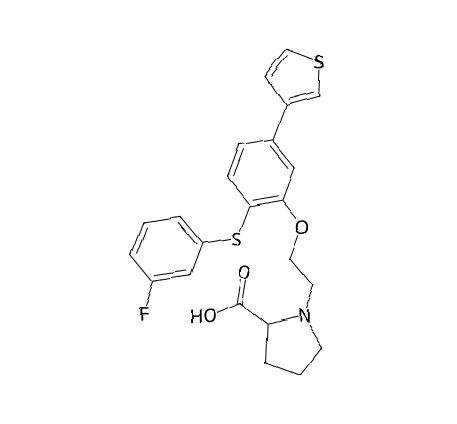 O=C(O)C1CCCN1CCOc1cc(-c2ccsc2)ccc1Sc1cccc(F)c1